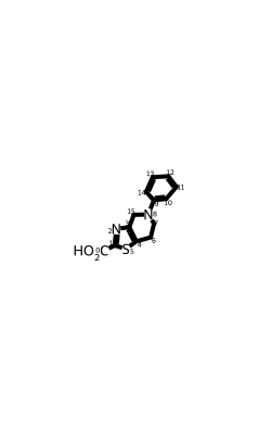 O=C(O)c1nc2c(s1)CCN(c1ccccc1)C2